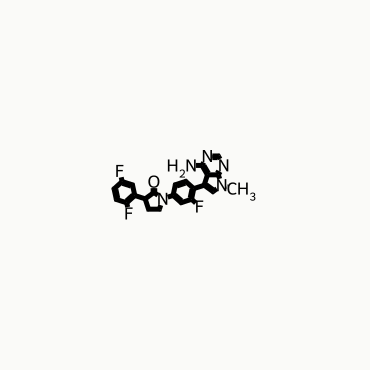 Cn1cc(-c2ccc(N3CCC(c4cc(F)ccc4F)C3=O)cc2F)c2c(N)ncnc21